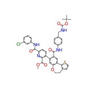 COC(=O)c1nc(C(=O)Nc2cccc(Cl)c2)ccc1-c1cc2c(cc1C(=O)Nc1ccc(CNC(=O)OC(C)(C)C)cc1)-c1sccc1CCO2